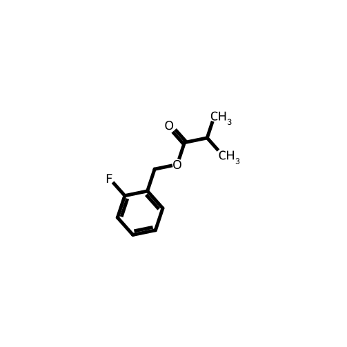 CC(C)C(=O)OCc1ccccc1F